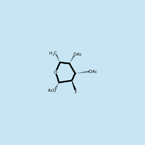 CC(=O)O[C@@H]1O[C@H](C)[C@H](OC(C)=O)[C@H](OC(C)=O)[C@H]1F